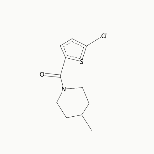 CC1CCN(C(=O)c2ccc(Cl)s2)CC1